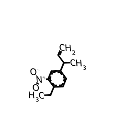 C=C[C](C)c1ccc(CC)c([N+](=O)[O-])c1